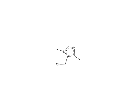 Cc1ncn(C)c1CCl